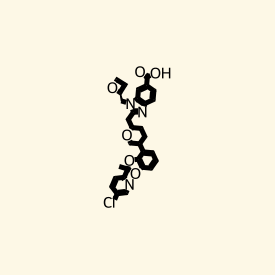 CC1(c2ccc(Cl)cn2)Oc2cccc(C3CCC(Cc4nc5ccc(C(=O)O)cc5n4C[C@@H]4CCO4)OC3)c2O1